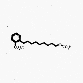 CCOC(=O)c1ccccc1CCCCCCCCCOC(=O)O